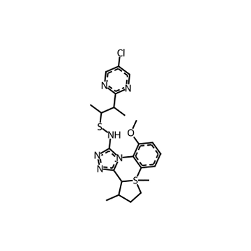 COc1cccc2c1-n1c(NSC(C)C(C)c3ncc(Cl)cn3)nnc1C1C(C)CCS21C